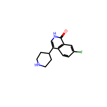 O=c1[nH]cc(C2CCNCC2)c2ccc(F)cc12